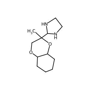 CC1(C2NCCN2)COC2CCCCC2O1